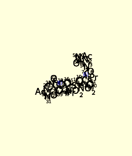 CC(=O)N1CCN(C(=O)/C=C/c2ccc(Sc3ccc(/C=C/C(=O)N4CCN(C(C)=O)C(C(=O)N(C)C)C4)c(-c4ccccc4C(C)C)c3[N+](=O)[O-])c([N+](=O)[O-])c2-c2ccccc2C(C)C)CC1C(=O)N(C)C